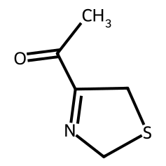 CC(=O)C1=NCSC1